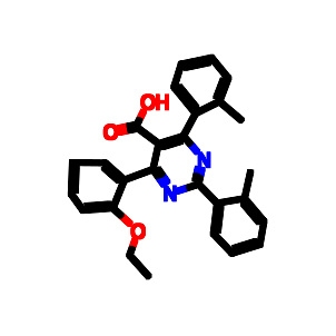 CCOc1ccccc1-c1nc(-c2ccccc2C)nc(-c2ccccc2C)c1C(=O)O